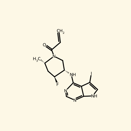 C=CC(=O)N1C[C@H](Nc2ncnc3[nH]cc(I)c23)[C@@H](F)C[C@@H]1C